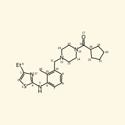 CCc1csc(Nc2cccc(CN3CCN(C(=O)C4CCCC4)CC3)c2C)n1